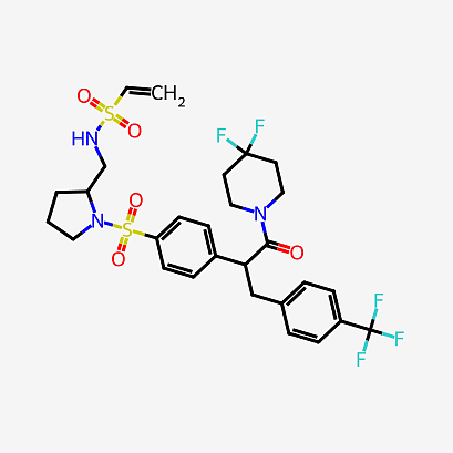 C=CS(=O)(=O)NCC1CCCN1S(=O)(=O)c1ccc(C(Cc2ccc(C(F)(F)F)cc2)C(=O)N2CCC(F)(F)CC2)cc1